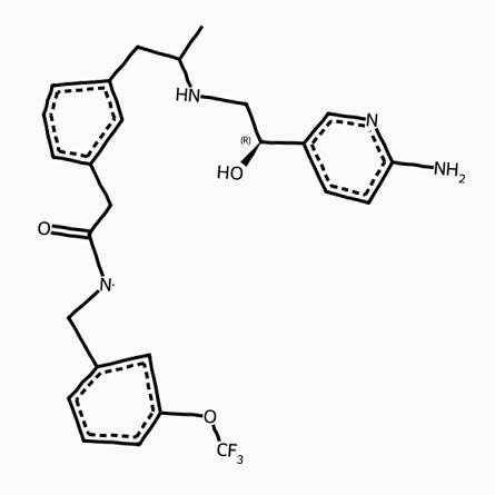 CC(Cc1cccc(CC(=O)[N]Cc2cccc(OC(F)(F)F)c2)c1)NC[C@H](O)c1ccc(N)nc1